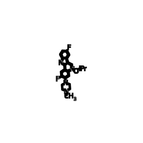 CC(C)On1cc2c3cc(F)ccc3nc-2c2cc(F)c(N3CCN(C)CC3)cc21